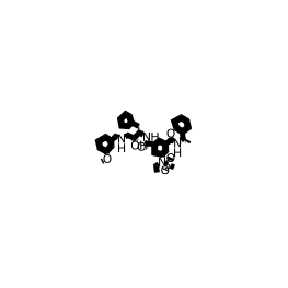 CCN(c1cc(C(=O)N[C@@H](Cc2ccccc2)[C@H](O)CNCc2cccc(OC)c2)cc(C(=O)N[C@H](C)c2ccccc2)c1)S(C)(=O)=O